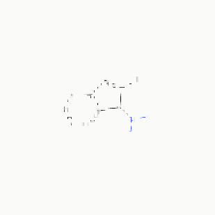 [Li][C]1=Cc2ccccc2C1N(C)C